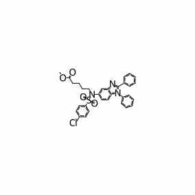 COC(=O)CCCCN(c1ccc2c(c1)nc(-c1ccccc1)n2-c1ccccc1)S(=O)(=O)c1ccc(Cl)cc1